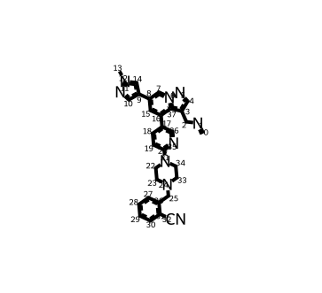 C=NCc1cnn2cc(-c3cnn(C)c3)cc(-c3ccc(N4CCN(Cc5ccccc5C#N)CC4)nc3)c12